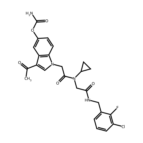 CC(=O)c1cn(CC(=O)N(CC(=O)NCc2cccc(Cl)c2F)C2CC2)c2ccc(OC(N)=O)cc12